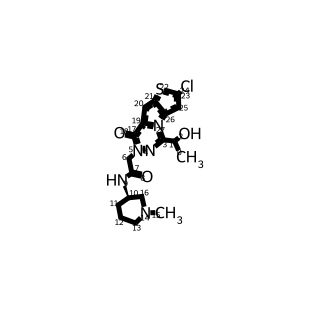 CC(O)c1nn(CC(=O)N[C@@H]2CCCN(C)C2)c(=O)c2cc3sc(Cl)cc3n12